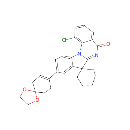 O=c1nc2n(c3c(Cl)cccc13)-c1ccc(C3=CCC4(CC3)OCCO4)cc1C21CCCCC1